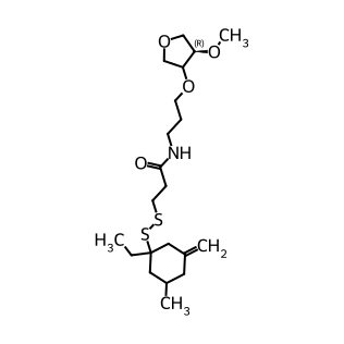 C=C1CC(C)CC(CC)(SSCCC(=O)NCCCOC2COC[C@H]2OC)C1